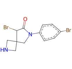 O=C1C(Br)C2(CNC2)CN1c1ccc(Br)cc1